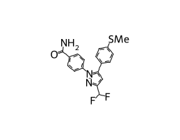 CSc1ccc(-c2cc(C(F)F)nn2-c2ccc(C(N)=O)cc2)cc1